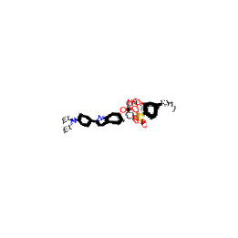 CCN(CC)c1ccc(-c2ccc3ccc(OC(C)(C)OS(=O)(=O)c4ccc(C)cc4O)cc3n2)cc1